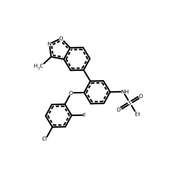 CCS(=O)(=O)Nc1ccc(Oc2ccc(Cl)cc2F)c(-c2ccc3onc(C)c3c2)c1